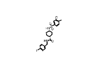 Cc1ccc(S(=O)(=O)N[C@H]2CC[C@H](C(=O)NCc3ccc(F)cc3)CC2)cc1Cl